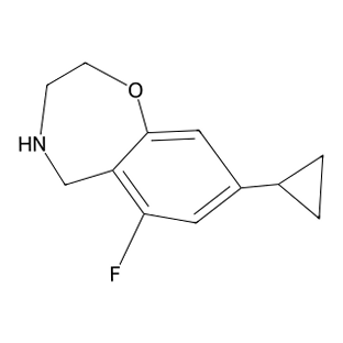 Fc1cc(C2CC2)cc2c1CNCCO2